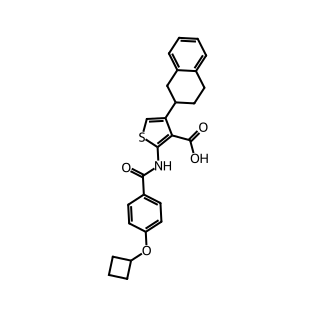 O=C(Nc1scc(C2CCc3ccccc3C2)c1C(=O)O)c1ccc(OC2CCC2)cc1